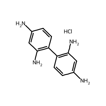 Cl.Nc1ccc(-c2ccc(N)cc2N)c(N)c1